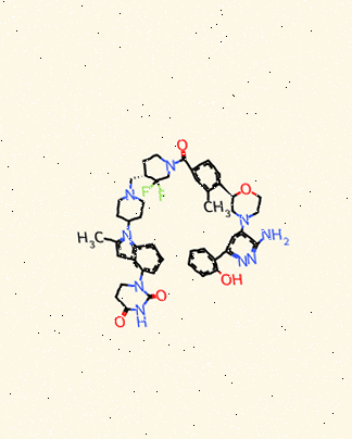 Cc1cc(C(=O)N2CC[C@@H](CN3CCC(n4c(C)cc5c(N6CCC(=O)NC6=O)cccc54)CC3)C(F)(F)C2)ccc1[C@@H]1CN(c2cc(-c3ccccc3O)nnc2N)CCO1